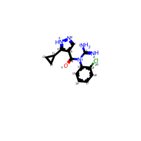 N=C(N)N(C(=O)c1cn[nH]c1C1CC1)c1ccccc1Cl